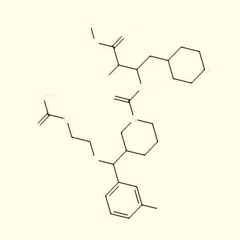 COC(=O)NCCOC(c1cccc(Cl)c1)C1CCCN(C(=O)NC(CC2CCCCC2)C(O)C(=O)OC(C)C)C1